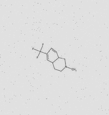 CN1CCC2C=C(C(F)(F)F)C=CC2C1